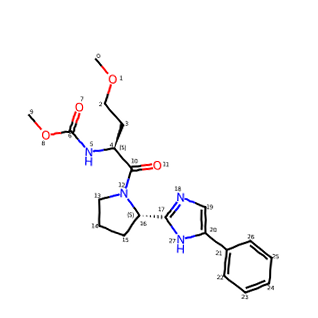 COCC[C@H](NC(=O)OC)C(=O)N1CCC[C@H]1c1ncc(-c2ccccc2)[nH]1